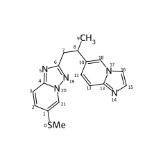 CSc1ccc2nc(CC(C)c3ccc4nccn4c3)nn2c1